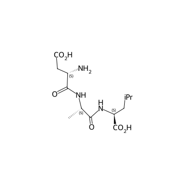 CC(C)C[C@H](NC(=O)[C@H](C)NC(=O)[C@@H](N)CC(=O)O)C(=O)O